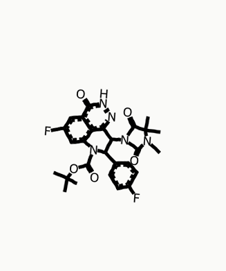 CN1C(=O)N(C2c3n[nH]c(=O)c4cc(F)cc(c34)N(C(=O)OC(C)(C)C)C2c2ccc(F)cc2)C(=O)C1(C)C